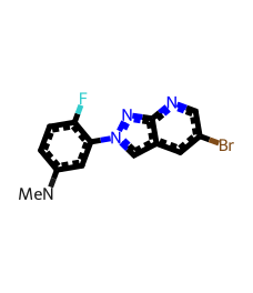 CNc1ccc(F)c(-n2cc3cc(Br)cnc3n2)c1